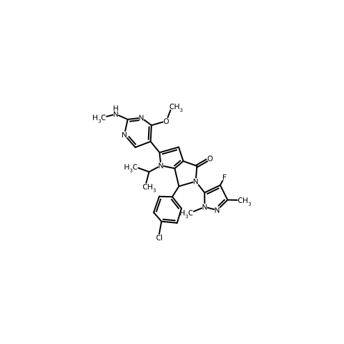 CNc1ncc(-c2cc3c(n2C(C)C)C(c2ccc(Cl)cc2)N(c2c(F)c(C)nn2C)C3=O)c(OC)n1